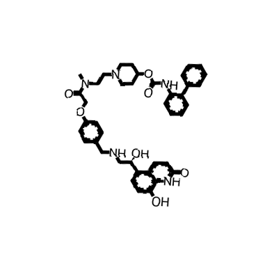 CN(CCN1CCC(OC(=O)Nc2ccccc2-c2ccccc2)CC1)C(=O)COc1ccc(CNC[C@H](O)c2ccc(O)c3[nH]c(=O)ccc23)cc1